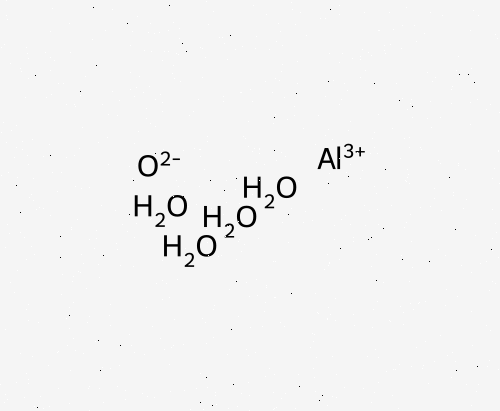 O.O.O.O.[Al+3].[O-2]